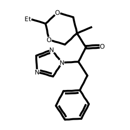 CCC1OCC(C)(C(=O)C(Cc2ccccc2)n2cncn2)CO1